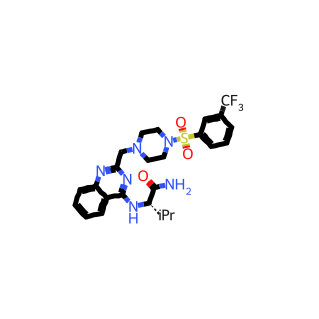 CC(C)[C@H](Nc1nc(CN2CCN(S(=O)(=O)c3cccc(C(F)(F)F)c3)CC2)nc2ccccc12)C(N)=O